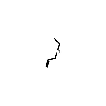 C=C[CH2][Hg][CH2]C